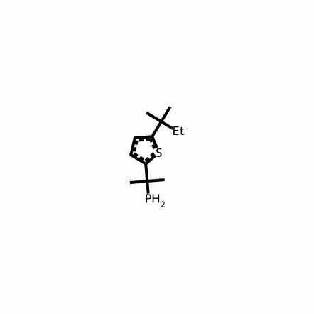 CCC(C)(C)c1ccc(C(C)(C)P)s1